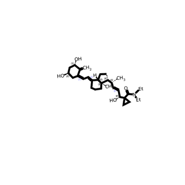 C=C1/C(=C\C=C2/CCC[C@]3(C)[C@@H]([C@H](C)/C=C/[C@@H](O)C4(C(=O)N(CC)CC)CC4)CC[C@@H]23)C[C@@H](O)C[C@@H]1O